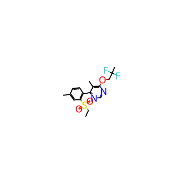 CCS(=O)(=O)c1cc(C)ccc1-c1ncnc(OCC(C)(F)F)c1C